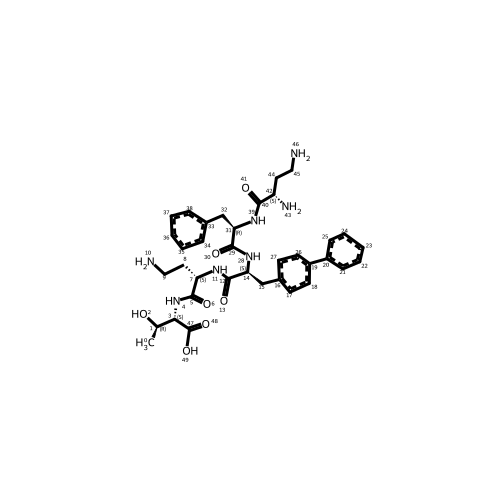 C[C@@H](O)[C@H](NC(=O)[C@H](CCN)NC(=O)[C@H](Cc1ccc(-c2ccccc2)cc1)NC(=O)[C@@H](Cc1ccccc1)NC(=O)[C@@H](N)CCN)C(=O)O